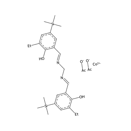 CC(=O)[O-].CC(=O)[O-].CCc1cc([Si](C)(C)C)cc(C=NCN=Cc2cc([Si](C)(C)C)cc(CC)c2O)c1O.[Co+2]